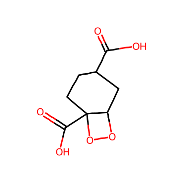 O=C(O)C1CCC2(C(=O)O)OOC2C1